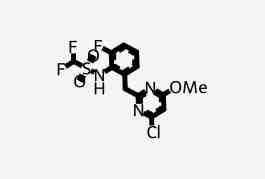 COc1cc(Cl)nc(Cc2cccc(F)c2NS(=O)(=O)C(F)F)n1